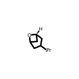 CC(C)C1CC2C[C@@H](C1)O2